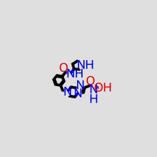 O=C(NC1CCNC1)c1cccc(CN2CCn3cc(C(=O)NO)nc3C2)c1